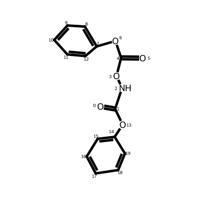 O=C(NOC(=O)Oc1ccccc1)Oc1ccccc1